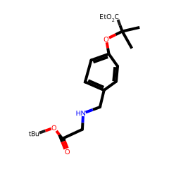 CCOC(=O)C(C)(C)Oc1ccc(CNCC(=O)OC(C)(C)C)cc1